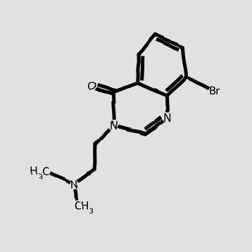 CN(C)CCn1cnc2c(Br)cccc2c1=O